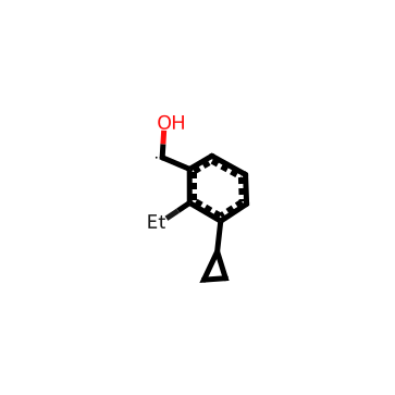 CCc1c([CH]O)cccc1C1CC1